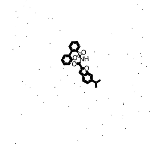 CC(C)c1ccc2cc(C(=O)NS(=O)(=O)c3ccccc3-c3ccccc3)oc2c1